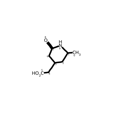 CC1CC(CC(=O)O)CC(=O)N1